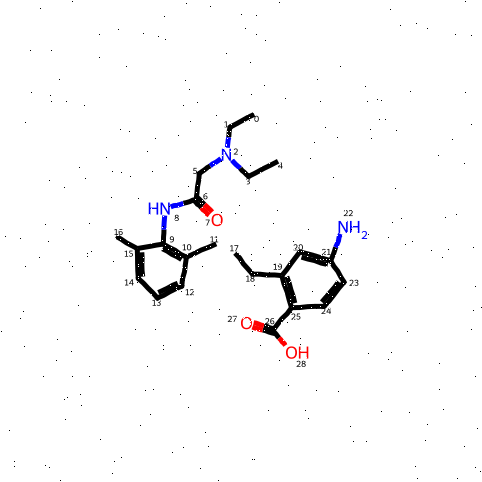 CCN(CC)CC(=O)Nc1c(C)cccc1C.CCc1cc(N)ccc1C(=O)O